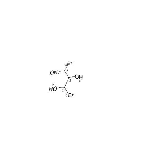 CCC(O)C(O)C(CC)N=O